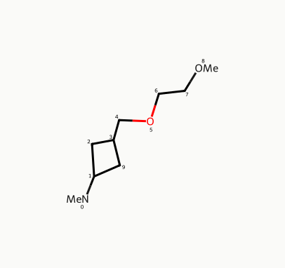 CNC1CC(COCCOC)C1